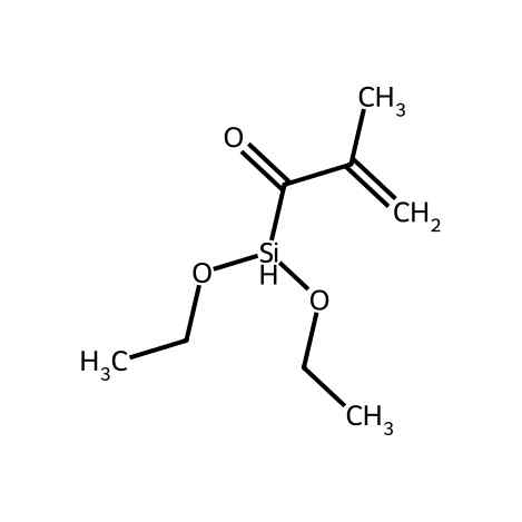 C=C(C)C(=O)[SiH](OCC)OCC